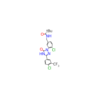 CC(C)(C)C(=O)NCc1ccc(Cl)c(-n2nc(-c3ccc(Cl)c(C(F)(F)F)c3)[nH]c2=O)c1